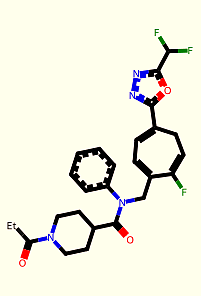 CCC(=O)N1CCC(C(=O)N(CC2=CC=C(c3nnc(C(F)F)o3)CC=C2F)c2ccccc2)CC1